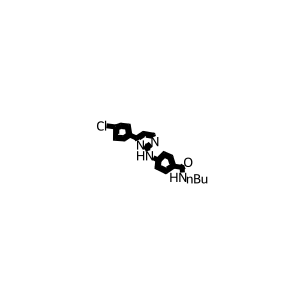 CCCCNC(=O)c1ccc(Nc2nccc(-c3ccc(Cl)cc3)n2)cc1